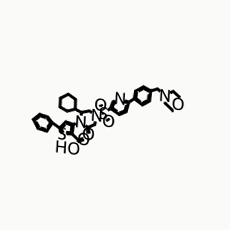 O=C(O)c1sc(-c2ccccc2)cc1N1C(=O)CN(S(=O)(=O)c2ccc(-c3ccc(CN4CCOCC4)cc3)nc2)CC1C1CCCCC1